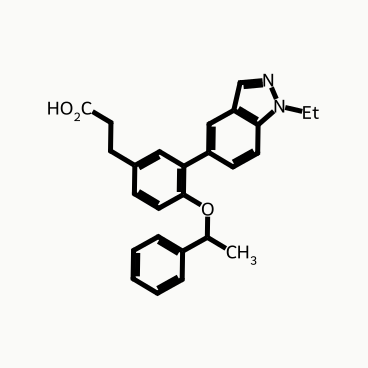 CCn1ncc2cc(-c3cc(CCC(=O)O)ccc3OC(C)c3ccccc3)ccc21